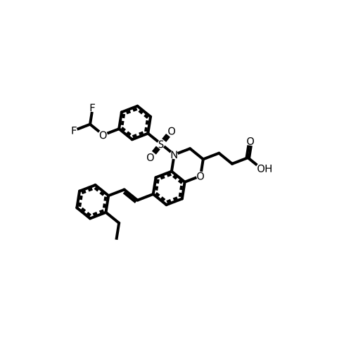 CCc1ccccc1C=Cc1ccc2c(c1)N(S(=O)(=O)c1cccc(OC(F)F)c1)CC(CCC(=O)O)O2